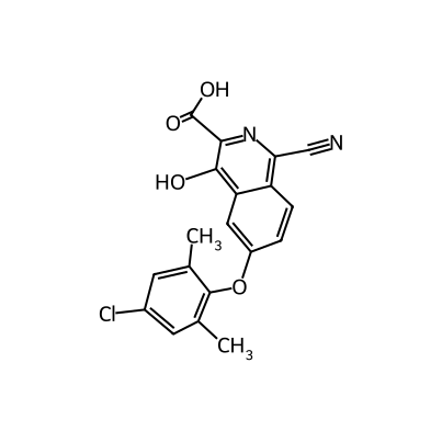 Cc1cc(Cl)cc(C)c1Oc1ccc2c(C#N)nc(C(=O)O)c(O)c2c1